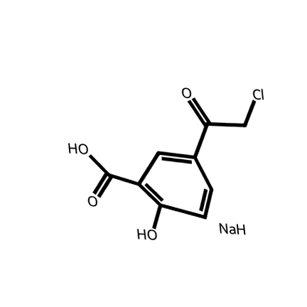 O=C(CCl)c1ccc(O)c(C(=O)O)c1.[NaH]